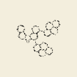 c1ccc2c(c1)ccc1oc3c(-c4ccc5ccc6cccc7ccc4c5c67)cc4c(-c5ccc6ccc7cccc8ccc5c6c78)cccc4c3c12